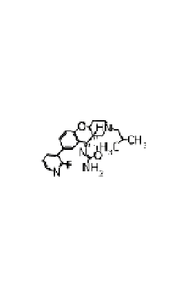 CC(C)CN1CCC2Oc3ccc(-c4cccnc4F)cc3[C@@]3(COC(N)=N3)[C@H]2C1